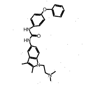 Cc1c(C)n(CCN(C)C)c2ccc(NC(=O)Nc3ccc(Oc4ccccc4)cc3)cc12